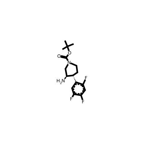 CC(C)(C)OC(=O)N1CC[C@H](c2cc(F)c(F)cc2F)[C@@H](N)C1